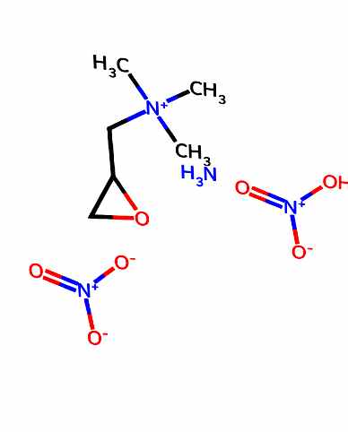 C[N+](C)(C)CC1CO1.N.O=[N+]([O-])O.O=[N+]([O-])[O-]